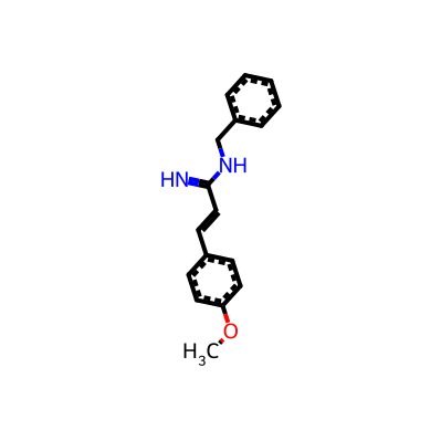 COc1ccc(/C=C/C(=N)NCc2ccccc2)cc1